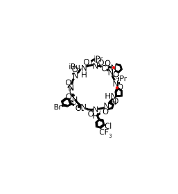 CC[C@H](C)[C@@H]1NC(=O)[C@H](CC(C)C)N(C)C(=O)C[C@@H](C(=O)N2CCCCC2)N(C)C(=O)[C@H](C(C)C)N(C)C(=O)C2(CCCC2)NC(=O)[C@@H]2CCCN2C(=O)[C@H](CCc2ccc(C(F)(F)F)c(Cl)c2)NC(=O)CN(C)C(=O)[C@H](Cc2cccc(Br)c2)N(C)C(=O)CN(C)C(=O)CN(C)C1=O